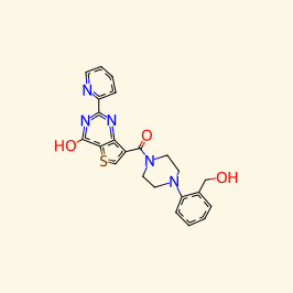 O=C(c1csc2c(O)nc(-c3ccccn3)nc12)N1CCN(c2ccccc2CO)CC1